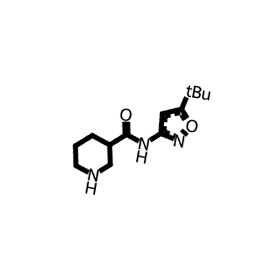 CC(C)(C)c1cc(NC(=O)C2CCCNC2)no1